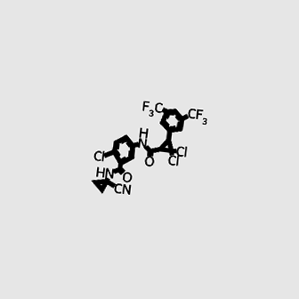 N#CC1(NC(=O)c2cc(NC(=O)C3C(c4cc(C(F)(F)F)cc(C(F)(F)F)c4)C3(Cl)Cl)ccc2Cl)CC1